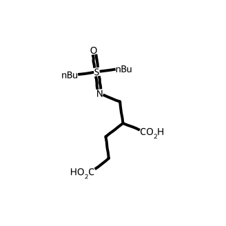 CCCCS(=O)(CCCC)=NCC(CCC(=O)O)C(=O)O